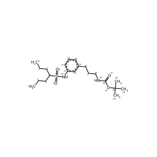 CCCC(CCC)S(=O)(=O)Nc1cccc(CCCNC(=O)OC(C)(C)C)c1